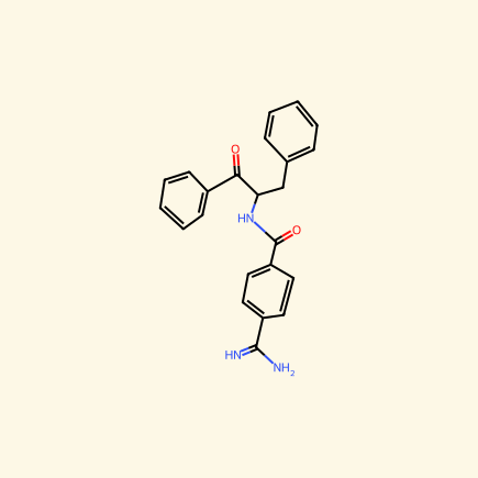 N=C(N)c1ccc(C(=O)NC(Cc2ccccc2)C(=O)c2ccccc2)cc1